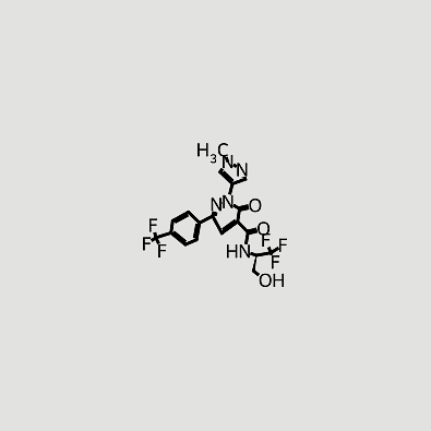 Cn1cc(-n2nc(-c3ccc(C(F)(F)F)cc3)cc(C(=O)N[C@H](CO)C(F)(F)F)c2=O)cn1